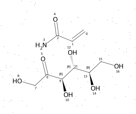 C=CC(N)=O.O=C(CO)[C@H](O)[C@H](O)[C@H](O)CO